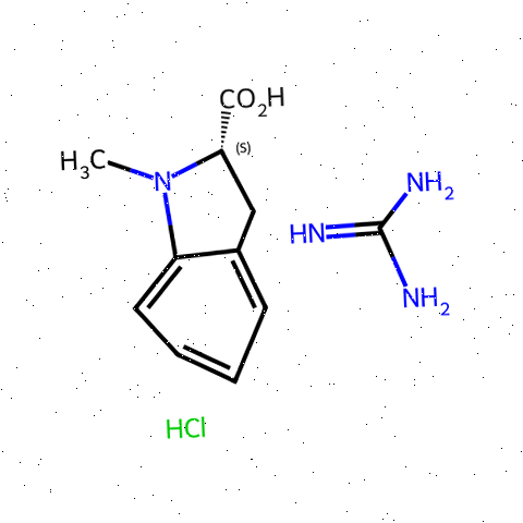 CN1c2ccccc2C[C@H]1C(=O)O.Cl.N=C(N)N